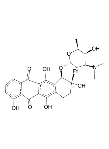 CC[C@@]1(O)CCc2c(O)c3c(c(O)c2[C@H]1O[C@H]1C[C@H](N(C)C)[C@H](O)[C@H](C)O1)C(=O)c1cccc(O)c1C3=O